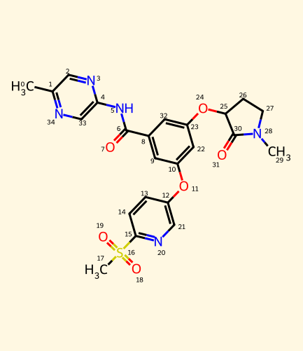 Cc1cnc(NC(=O)c2cc(Oc3ccc(S(C)(=O)=O)nc3)cc(OC3CCN(C)C3=O)c2)cn1